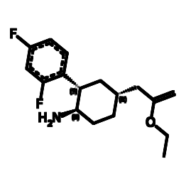 C=C(C[C@@H]1CC[C@@H](N)[C@H](c2ccc(F)cc2F)C1)OCC